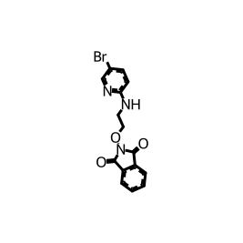 O=C1c2ccccc2C(=O)N1OCCNc1ccc(Br)cn1